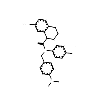 COc1ccc2c(c1)C(C(=O)N(Cc1ccc(N(C)C)cc1)c1ccc(C(C)C)cc1)CCC2.Cl.O